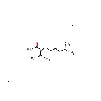 CC(=O)C(CCCCC(C)C)C(C)C